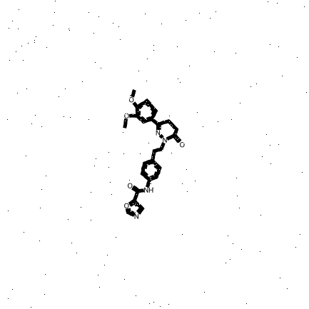 COc1ccc(C2=NN(CCc3ccc(NC(=O)c4cnco4)cc3)C(=O)CC2)cc1OC